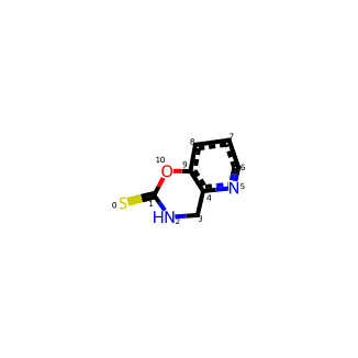 S=C1NCc2ncccc2O1